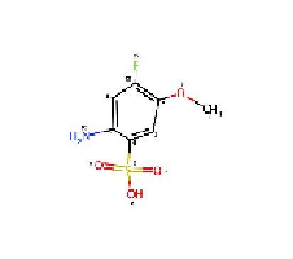 COc1cc(S(=O)(=O)O)c(N)cc1F